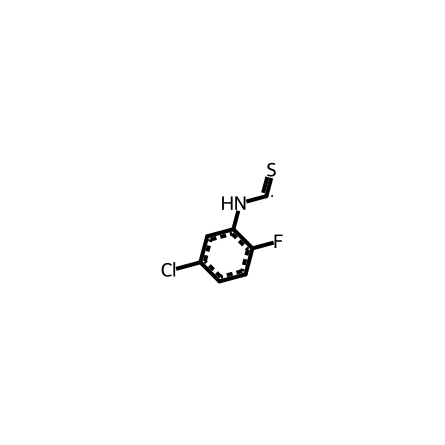 Fc1ccc(Cl)cc1N[C]=S